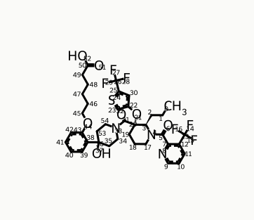 CCC[C@H]1N(C(=O)c2ncccc2C(F)(F)F)CCC[C@@]1(Oc1csc(C(F)(F)F)c1)C(=O)N1CCC(O)(c2ccccc2OCCCCCC(=O)O)CC1